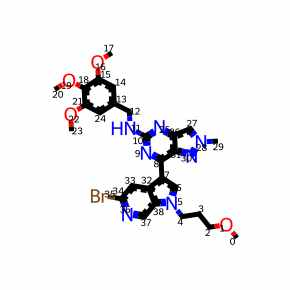 COCCCn1cc(-c2nc(NCc3cc(OC)c(OC)c(OC)c3)nc3cn(C)nc23)c2cc(Br)ncc21